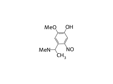 CNC(C)c1cc(OC)c(O)cc1N=O